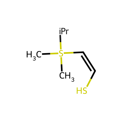 CC(C)S(C)(C)/C=C\S